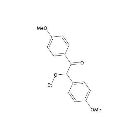 CCOC(C(=O)c1ccc(OC)cc1)c1ccc(OC)cc1